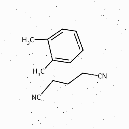 Cc1ccccc1C.N#CCCCC#N